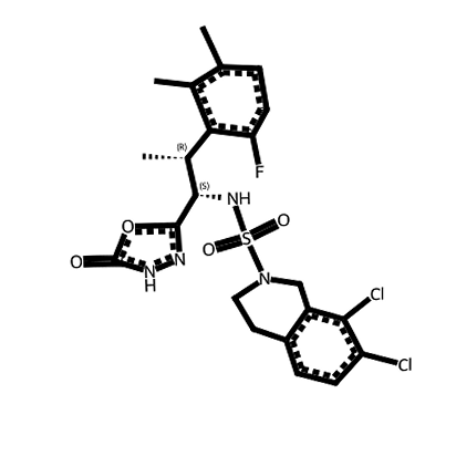 Cc1ccc(F)c([C@@H](C)[C@H](NS(=O)(=O)N2CCc3ccc(Cl)c(Cl)c3C2)c2n[nH]c(=O)o2)c1C